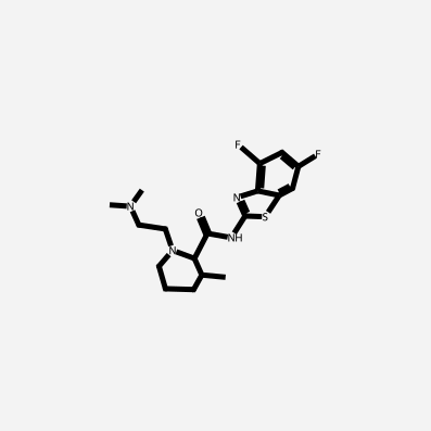 CC1CCCN(CCN(C)C)C1C(=O)Nc1nc2c(F)cc(F)cc2s1